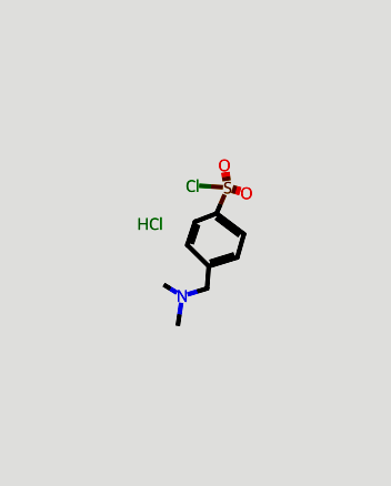 CN(C)Cc1ccc(S(=O)(=O)Cl)cc1.Cl